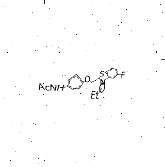 CCON1c2cc(F)ccc2SC1COc1ccc(NC(C)=O)cc1